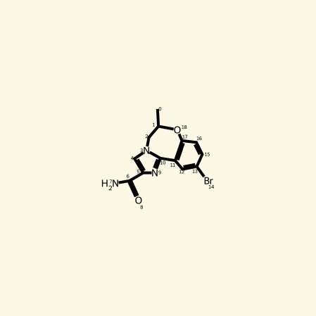 CC1Cn2cc(C(N)=O)nc2-c2cc(Br)ccc2O1